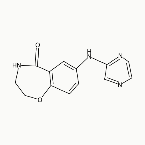 O=C1NCCOc2ccc(Nc3cnccn3)cc21